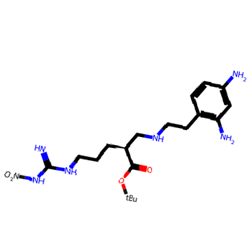 CC(C)(C)OC(=O)[C@@H](CCCNC(=N)N[N+](=O)[O-])CNCCc1ccc(N)cc1N